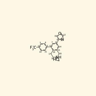 Cl.FC(F)(F)c1ccc(-c2cc(-c3cocn3)cc3c2CCNC3)cc1